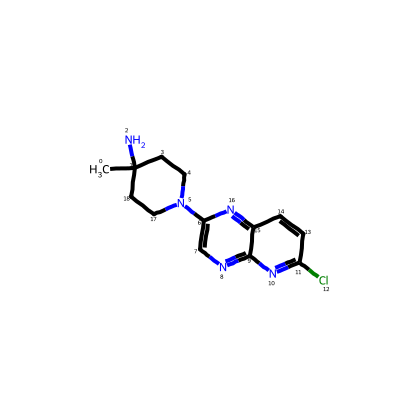 CC1(N)CCN(c2cnc3nc(Cl)ccc3n2)CC1